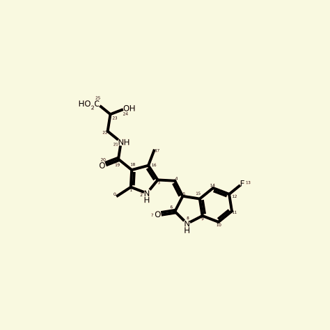 Cc1[nH]c(/C=C2\C(=O)Nc3ccc(F)cc32)c(C)c1C(=O)NCC(O)C(=O)O